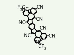 N#CC1=C(c2ccc(C(F)(F)F)cc2)/C(=C(/C#N)c2cc(C#N)cc(C#N)c2)c2cc3c(cc21)C(C#N)=C(c1ccc(C(F)(F)F)cc1)/C3=C(/C#N)c1cc(C#N)cc(C#N)c1